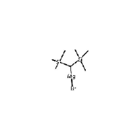 C[Si](C)(C)[CH]([Mg][Br])[Si](C)(C)C